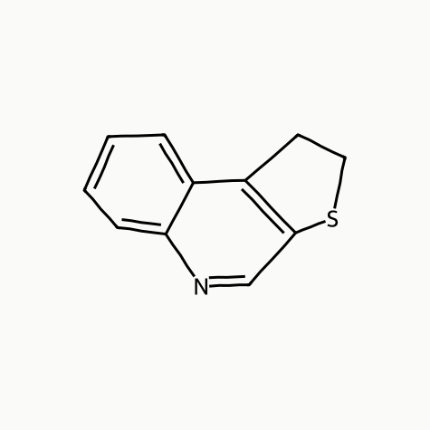 c1ccc2c3c(cnc2c1)SCC3